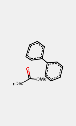 CCCCCCCCCCC(=O)OC.c1ccc(-c2ccccc2)cc1